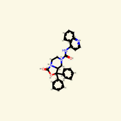 O=C(Nc1ccnc2ccccc12)N1CCN2C(=O)OC(c3ccccc3)(c3ccccc3)C2C1